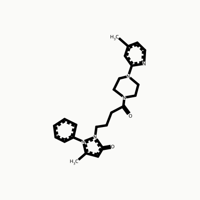 Cc1ccnc(N2CCN(C(=O)CCCn3c(=O)cc(C)n3-c3ccccc3)CC2)c1